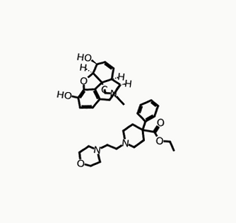 CCOC(=O)C1(c2ccccc2)CCN(CCN2CCOCC2)CC1.CN1CC[C@]23c4c5ccc(O)c4O[C@H]2[C@@H](O)C=C[C@H]3[C@H]1C5